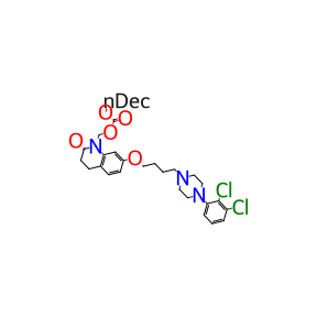 CCCCCCCCCCOC(=O)OCN1C(=O)CCc2ccc(OCCCCN3CCN(c4cccc(Cl)c4Cl)CC3)cc21